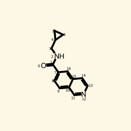 O=C(NCC1CC1)c1ccc2cnccc2c1